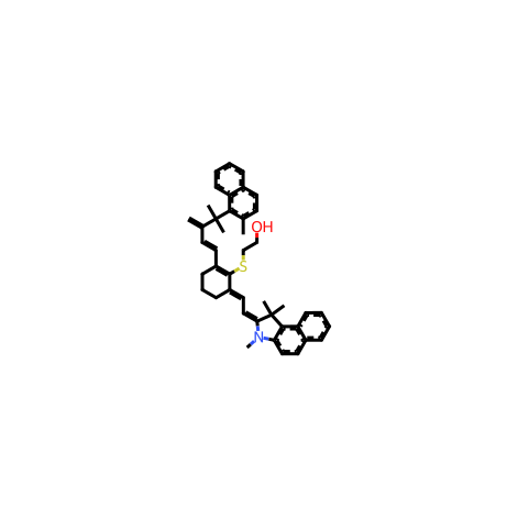 C=C(/C=C/C1=C(SCCO)C(=C/C=C2/N(C)c3ccc4ccccc4c3C2(C)C)/CCC1)C(C)(C)c1c(C)ccc2ccccc12